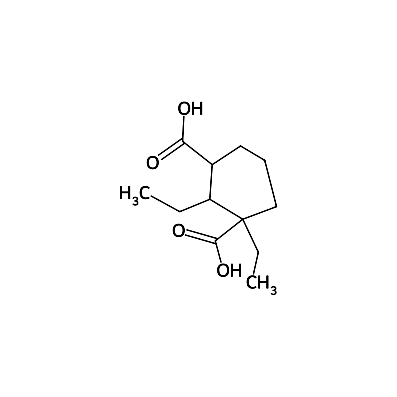 CCC1C(C(=O)O)CCCC1(CC)C(=O)O